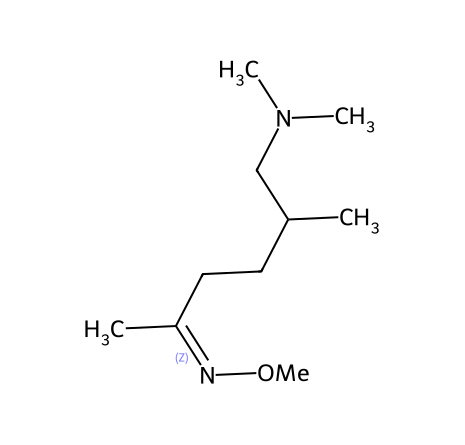 CO/N=C(/C)CCC(C)CN(C)C